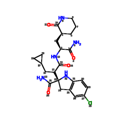 NC(=O)[C@H](C[C@@H]1CCCNC1=O)NC(=O)C(CC1CC1)[C@]1(C(N)=O)Cc2cc(Cl)ccc2N1